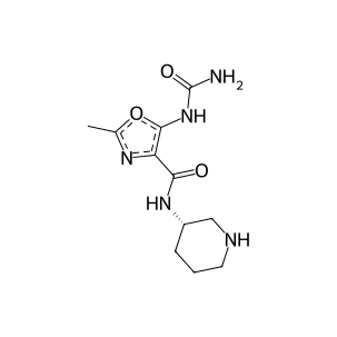 Cc1nc(C(=O)N[C@H]2CCCNC2)c(NC(N)=O)o1